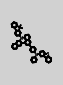 CC1(C)c2ccccc2-c2ccc(N3c4cc5ccccc5cc4-c4cc(-c5ccc(N(c6ccccc6)c6ccc7sc8ccccc8c7c6)cc5)cc5cccc3c45)cc21